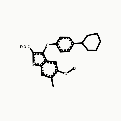 CCOC(=O)c1sc2cc(C)c(OCC)cc2c1Oc1ccc(C2CCCCC2)cc1